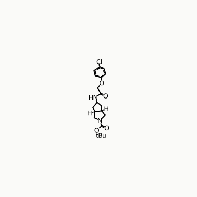 CC(C)(C)OC(=O)N1C[C@H]2C[C@H](NC(=O)COc3ccc(Cl)cc3)C[C@H]2C1